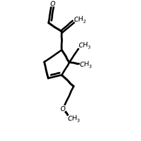 C=C(C=O)C1CC=C(COC)C1(C)C